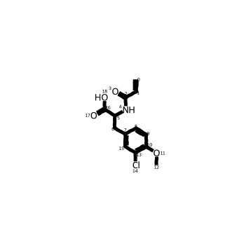 C=CC(=O)NC(Cc1ccc(OC)c(Cl)c1)C(=O)O